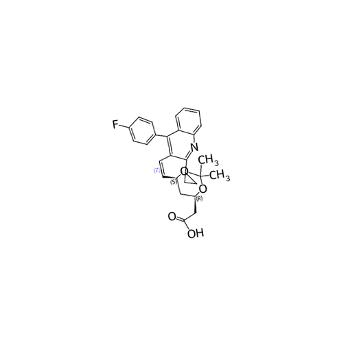 CC1(C)O[C@@H](CC(=O)O)C[C@@H](/C=C\c2c(C3CC3)nc3ccccc3c2-c2ccc(F)cc2)O1